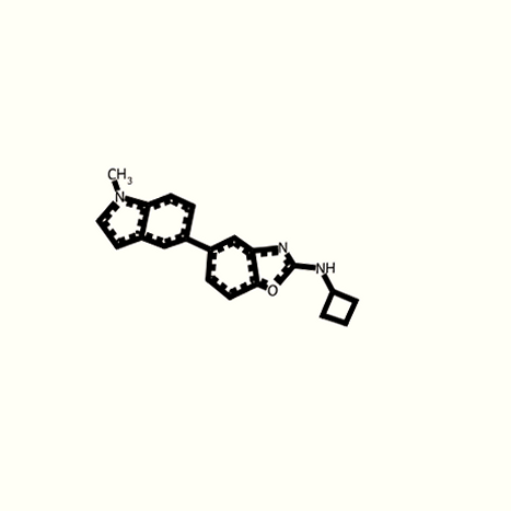 Cn1ccc2cc(-c3ccc4oc(NC5CCC5)nc4c3)ccc21